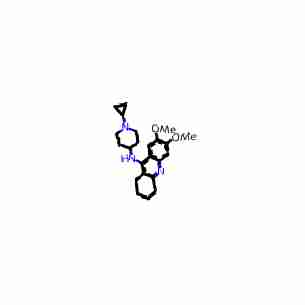 COc1cc2nc3c(c(NC4CCN(C5CC5)CC4)c2cc1OC)CCCC3